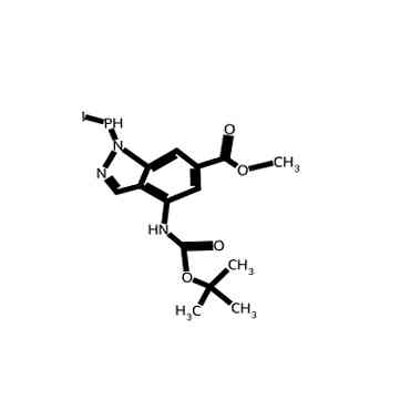 COC(=O)c1cc(NC(=O)OC(C)(C)C)c2cnn(PI)c2c1